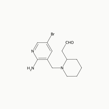 Nc1ncc(Br)cc1CN1CCCCC1CC=O